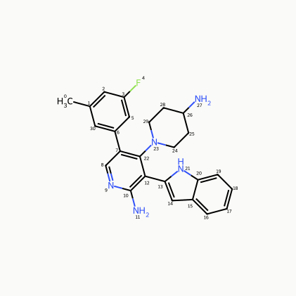 Cc1cc(F)cc(-c2cnc(N)c(-c3cc4ccccc4[nH]3)c2N2CCC(N)CC2)c1